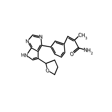 CC(=Cc1cccc(-c2ncnc3[nH]cc(C4CCCO4)c23)c1)C(N)=O